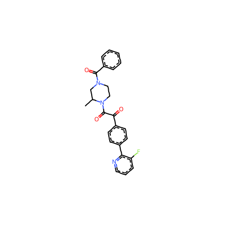 CC1CN(C(=O)c2ccccc2)CCN1C(=O)C(=O)c1ccc(-c2ncccc2F)cc1